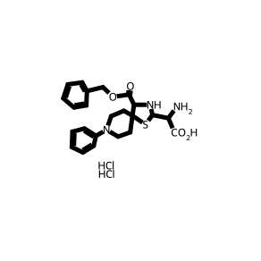 Cl.Cl.NC(C(=O)O)C1NC(C(=O)OCc2ccccc2)C2(CCN(c3ccccc3)CC2)S1